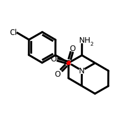 NC1C(=O)CC2CCCC1N2S(=O)(=O)c1ccc(Cl)cc1